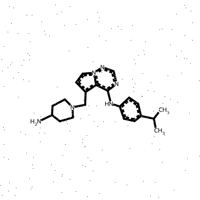 CC(C)c1ccc(Nc2ncnn3ccc(CN4CCC(N)CC4)c23)cc1